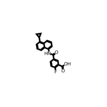 O=C(Nc1cccc2c(C3CC3)cccc12)c1ccc(F)c(C(=O)O)c1